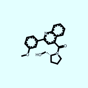 COc1cccc(-c2cc(C(=O)N3CCC[C@@H]3CO)c3ccccc3n2)c1